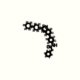 O=C(Cc1ccccc1)Nc1ccc(-c2ccc3ncc(N4CCC(N5CCCCC5)CC4)nc3c2)cc1